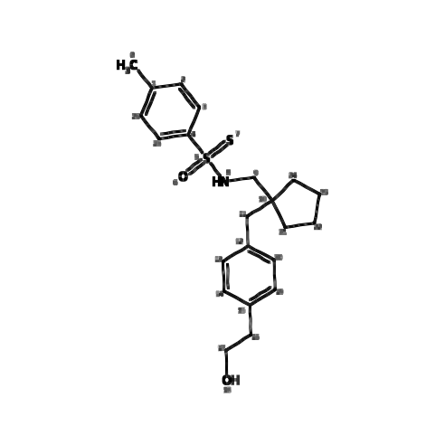 Cc1ccc(S(=O)(=S)NCC2(Cc3ccc(CCO)cc3)CCCC2)cc1